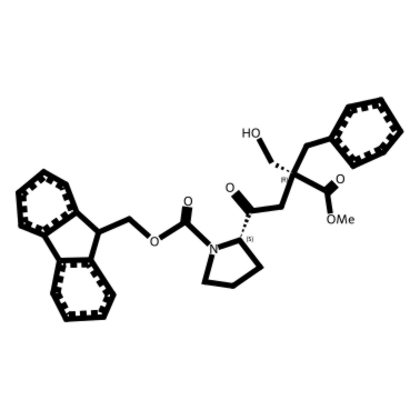 COC(=O)[C@@](CO)(CC(=O)[C@@H]1CCCN1C(=O)OCC1c2ccccc2-c2ccccc21)Cc1ccccc1